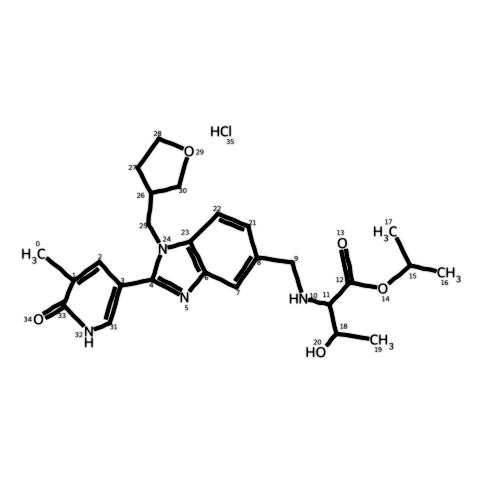 Cc1cc(-c2nc3cc(CNC(C(=O)OC(C)C)C(C)O)ccc3n2CC2CCOC2)c[nH]c1=O.Cl